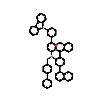 c1ccc(-c2ccc(CN(c3ccc(-c4cccc(-n5c6ccccc6c6ccccc65)c4)cc3)c3cc(-c4cccc5ccccc45)ccc3-c3cccc4ccccc34)cc2)cc1